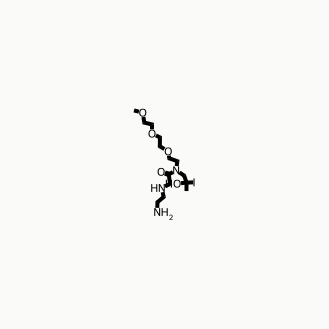 COCCOCCOCCN(CC(C)(O)I)C(=O)CNCCN